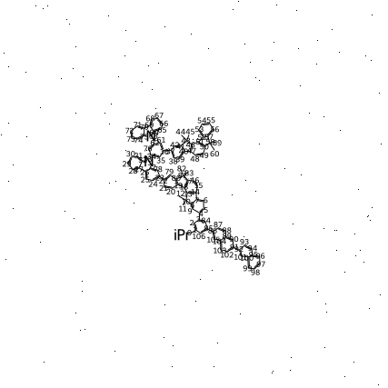 CC(C)c1cc(-c2ccc3c(c2)C(C)(C)c2c-3ccc3c2-c2ccc(-c4ccc5c6ccccc6n(-c6cc(-c7ccc8c(c7)C(C)(C)c7c-8ccc8c7-c7ccccc7C8(C)C)cc(-n7c8ccccc8c8ccccc87)c6)c5c4)cc2C3(C)C)cc(-c2ccc3cc(-c4ccc5ccccc5c4)ccc3c2)c1